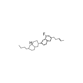 C/C=C/CCc1cc(F)c2cc([C@@H]3CC[C@@H]4CC(CCCC)CCC4C3)ccc2c1